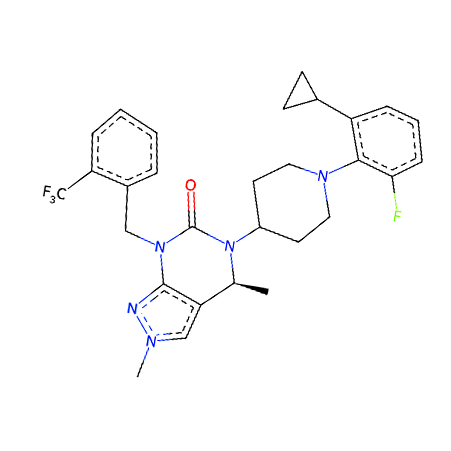 C[C@H]1c2cn(C)nc2N(Cc2ccccc2C(F)(F)F)C(=O)N1C1CCN(c2c(F)cccc2C2CC2)CC1